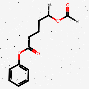 CCC(=O)OC(CC)CCCC(=O)Oc1ccccc1